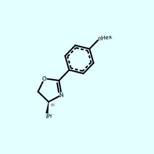 CCCCCCc1ccc(C2=N[C@@H](C(C)C)CO2)cc1